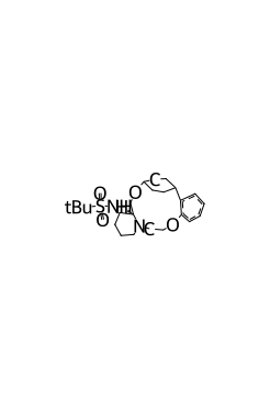 CC(C)(C)S(=O)(=O)N[C@H]1CCCN2CCOc3ccccc3C3CCC(CC3)OC[C@@H]12